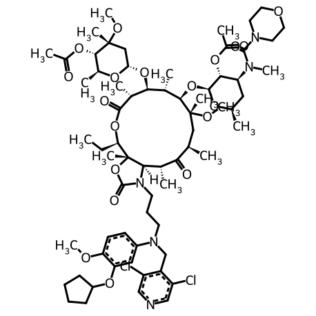 CC[C@H]1OC(=O)[C@H](C)[C@@H](O[C@H]2C[C@@](C)(OC)[C@@H](OC(C)=O)[C@H](C)O2)[C@H](C)[C@@H](O[C@@H]2O[C@H](C)C[C@H](N(C)C(=O)N3CCOCC3)[C@H]2OC(C)=O)[C@](C)(OC)C[C@@H](C)C(=O)[C@H](C)[C@H]2N(CCCN(Cc3c(Cl)cncc3Cl)c3ccc(OC)c(OC4CCCC4)c3)C(=O)O[C@]12C